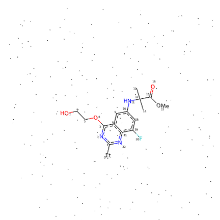 CCc1nc(OCCO)c2cc(NC(C)(C)C(=O)OC)cc(F)c2n1